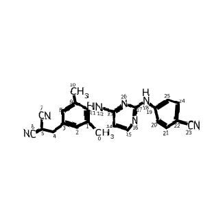 Cc1cc(CC(C#N)C#N)cc(C)c1Nc1ccnc(Nc2ccc(C#N)cc2)n1